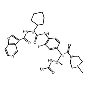 CCC(=O)N[C@H](C)[C@@H](C(=O)N1CCN(C)CC1)c1ccc(NC(=O)[C@@H](NC(=O)c2coc3ccncc23)C2CCCCC2)c(F)c1